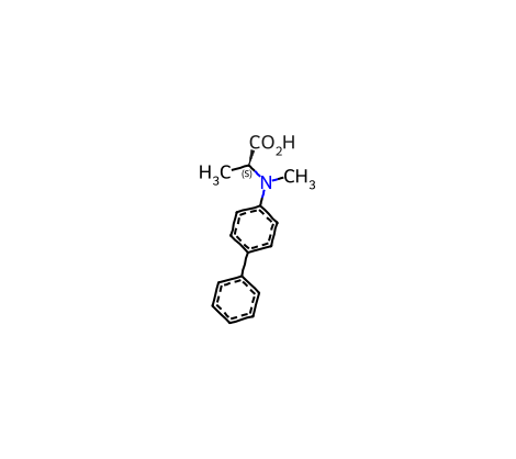 C[C@@H](C(=O)O)N(C)c1ccc(-c2ccccc2)cc1